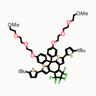 COCCOCCOCCOc1ccc(C2(c3ccc(OCCOCCOCCOC)cc3)c3sc(-c4ccc(C(C)(C)C)s4)cc3C3=C(c4cc(-c5ccc(C(C)(C)C)s5)sc42)C(F)(F)C(F)(F)C3(F)F)cc1